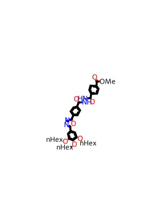 CCCCCCOc1cc(-c2nnc(-c3ccc(C(=O)NNC(=O)c4ccc(C(=O)OC)cc4)cc3)o2)cc(OCCCCCC)c1OCCCCCC